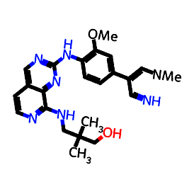 CN/C=C(\C=N)c1ccc(Nc2ncc3ccnc(NCC(C)(C)CO)c3n2)c(OC)c1